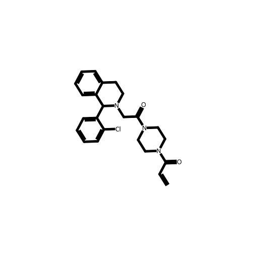 C=CC(=O)N1CCN(C(=O)CN2CCc3ccccc3C2c2ccccc2Cl)CC1